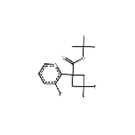 CC(C)(C)OC(=O)C1(c2ncccc2F)CC(F)(F)C1